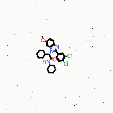 COc1ccc2nc(-c3ccc(Cl)c(Cl)c3)n(C(C(=O)NC3CCCCC3)C3CCCCC3)c2c1